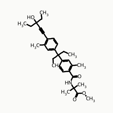 CCC(O)(C#Cc1ccc(C(CC)(CC)c2ccc(C(=O)NC(C)(C)C(=O)OC)c(C)c2)cc1C)CC